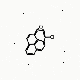 Clc1c2ccc3cccc4ccc(c5oc15)c2c34